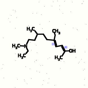 CC/C(=C\C=C(/C)O)CCC(C)CCN(C)CC